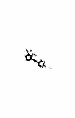 COc1c(C#Cc2cnc(N)nc2)cccc1[N+](=O)[O-]